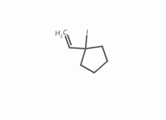 C=CC1(I)CCCC1